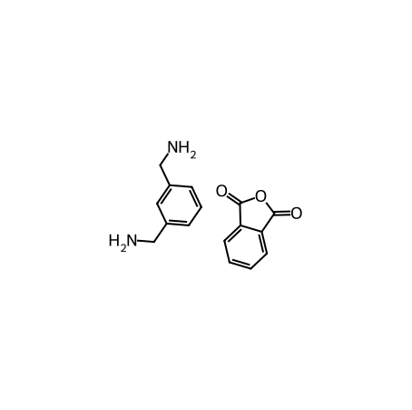 NCc1cccc(CN)c1.O=C1OC(=O)c2ccccc21